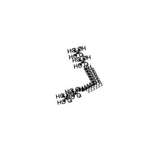 N.N.N.N.N.N.N.N.N.N.N.N.O=P(O)(O)O.O=P(O)(O)O.O=P(O)(O)O.O=P(O)(O)O